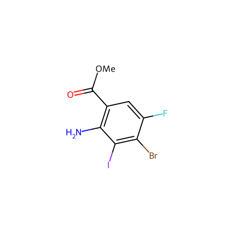 COC(=O)c1cc(F)c(Br)c(I)c1N